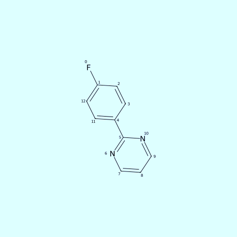 Fc1ccc(-c2ncccn2)cc1